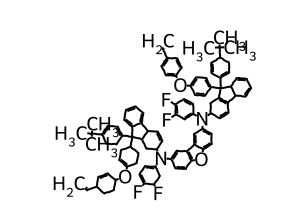 C=Cc1ccc(Oc2ccc(C3(C4=CCC(C(C)(C)C)C=C4)C4=C(C=CC(N(c5ccc(F)c(F)c5)c5ccc6oc7ccc(N(C8=CC=C(F)C(F)C8)C8C=CC9c%10ccccc%10C(C%10=CC=C(C(C)(C)C)CC%10)(C%10CC=C(OC%11C=CC(C=C)CC%11)CC%10)C9C8)cc7c6c5)C4)C4C=CC=CC43)cc2)cc1